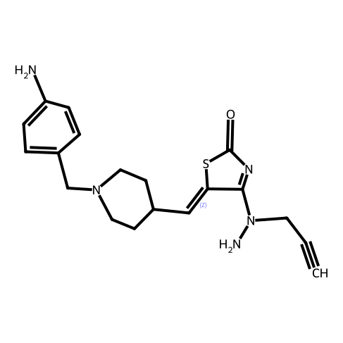 C#CCN(N)C1=NC(=O)S/C1=C\C1CCN(Cc2ccc(N)cc2)CC1